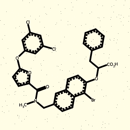 CN(Cc1ccc2c(Br)c(OC(Cc3ccccc3)C(=O)O)ccc2c1)C(=O)c1ccc(Oc2cc(Cl)cc(Cl)c2)o1